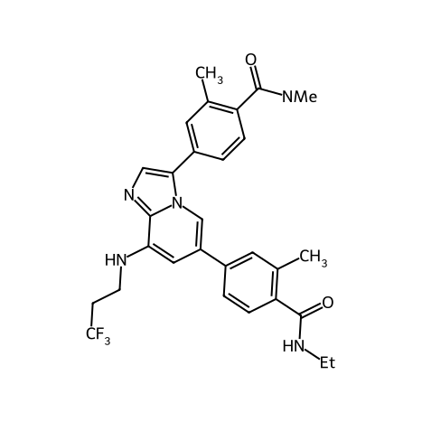 CCNC(=O)c1ccc(-c2cc(NCCC(F)(F)F)c3ncc(-c4ccc(C(=O)NC)c(C)c4)n3c2)cc1C